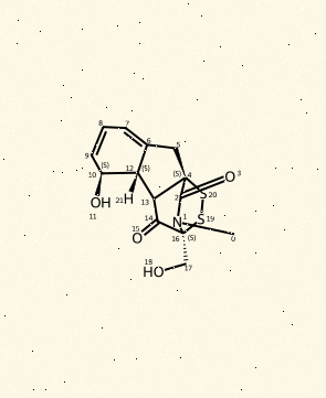 CN1C(=O)[C@]23CC4=CC=C[C@H](O)[C@H]4C2C(=O)[C@]1(CO)SS3